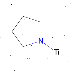 [Ti][N]1CCCC1